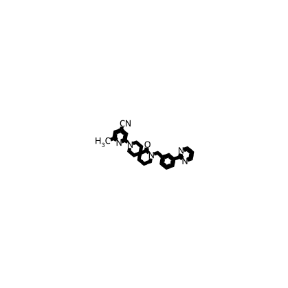 Cc1cc(C#N)cc(N2CCC3(CCCN(Cc4cccc(-c5ncccn5)c4)C3=O)CC2)n1